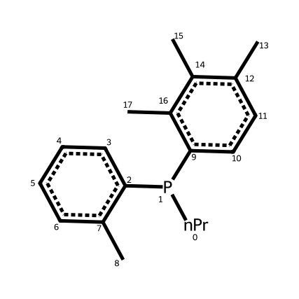 CCCP(c1ccccc1C)c1ccc(C)c(C)c1C